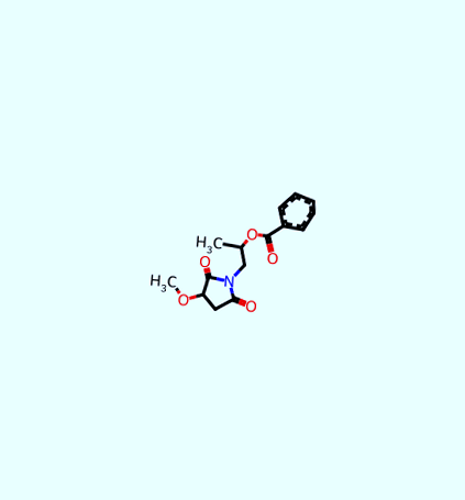 COC1CC(=O)N(CC(C)OC(=O)c2ccccc2)C1=O